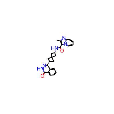 Cc1nc2ccccn2c1C(=O)N[C@H]1CC2(C1)C[C@H](c1n[nH]c(=O)c3ccccc31)C2